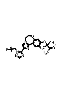 CC(C)(Oc1ccc2c(c1)OCCn1cc(-c3ncnn3CC(F)(F)F)nc1-2)C(N)=O